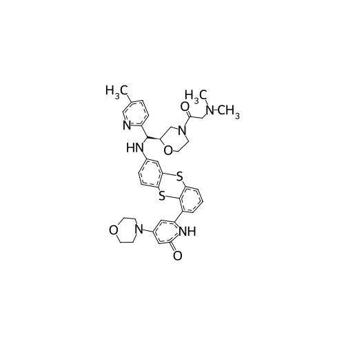 Cc1ccc(C(Nc2ccc3c(c2)Sc2cccc(-c4cc(N5CCOCC5)cc(=O)[nH]4)c2S3)[C@H]2CN(C(=O)CN(C)C)CCO2)nc1